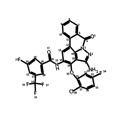 Nc1nn2c(=O)c3ccccc3c3cc(NC(=O)c4cc(F)cc(C(F)(F)F)c4)c(Oc4cc(F)ccc4Cl)c1c32